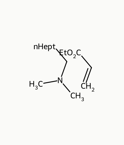 C=CC(=O)OCC.CCCCCCCCN(C)C